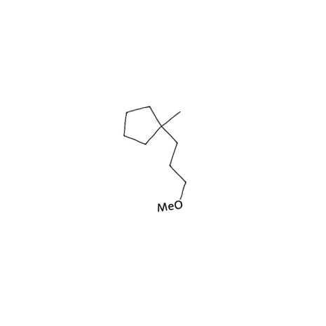 COCCCC1(C)CCCC1